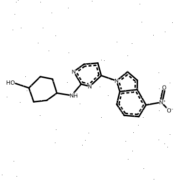 O=[N+]([O-])c1cccc2c1ccn2-c1ccnc(NC2CCC(O)CC2)n1